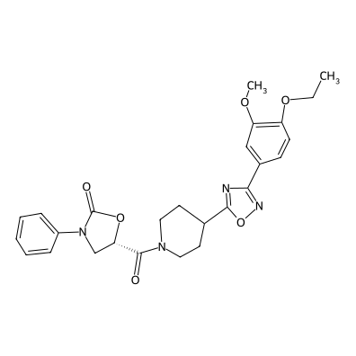 CCOc1ccc(-c2noc(C3CCN(C(=O)[C@@H]4CN(c5ccccc5)C(=O)O4)CC3)n2)cc1OC